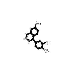 COc1ccc2c(-c3ccc(C)c(N)c3)nncc2c1